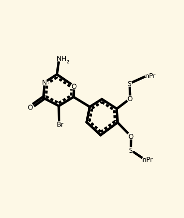 CCCSOc1ccc(-c2oc(N)nc(=O)c2Br)cc1OSCCC